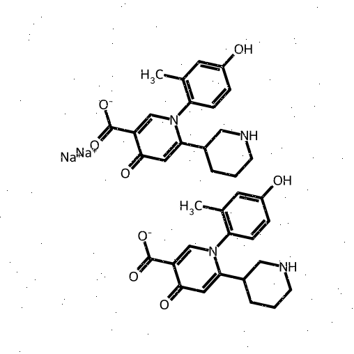 Cc1cc(O)ccc1-n1cc(C(=O)[O-])c(=O)cc1C1CCCNC1.Cc1cc(O)ccc1-n1cc(C(=O)[O-])c(=O)cc1C1CCCNC1.[Na+].[Na+]